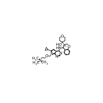 C[Si](C)(C)CCOCn1c(C2CC2)cc2c(N[C@H]3c4ccccc4OC[C@@H]3C3(O)CCOCC3)ncnc21